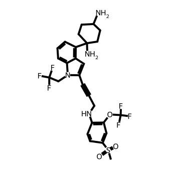 CS(=O)(=O)c1ccc(NCC#Cc2cc3c(C4(N)CCC(N)CC4)cccc3n2CC(F)(F)F)c(OC(F)(F)F)c1